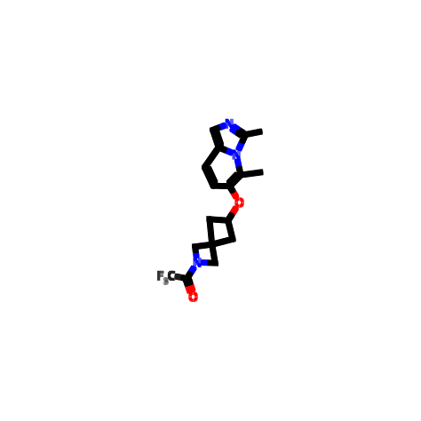 Cc1ncc2ccc(OC3CC4(C3)CN(C(=O)C(F)(F)F)C4)c(C)n12